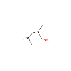 C=C(C)CC(C)C=O